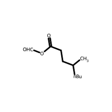 CCCCC(C)CCC(=O)OC=O